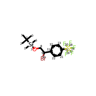 CC(C)(C)[Si](C)(C)OCC(Br)c1ccc(S(F)(F)(F)(F)F)cc1